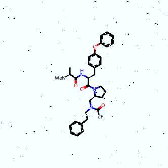 CN[C@@H](C)C(=O)N[C@@H](Cc1ccc(Oc2ccccc2)cc1)C(=O)N1CCC[C@H]1CN(CCc1ccccc1)C(=O)C(F)(F)F